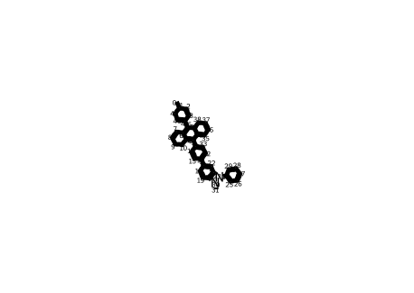 CC1C=CC(C2=C3C=CCCC3=C(c3ccc(-c4ccc5c(c4)n(-c4ccccc4)n5C)cc3)C3=CC=CCC32)=CC1